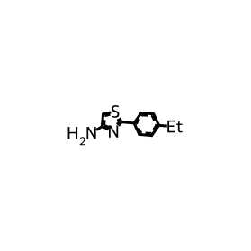 CCc1ccc(-c2nc(N)cs2)cc1